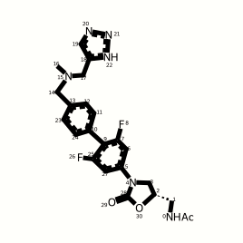 CC(=O)NC[C@H]1CN(c2cc(F)c(-c3ccc(CN(C)Cc4cnn[nH]4)cc3)c(F)c2)C(=O)O1